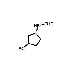 CC(=O)C1CCN(BC=O)C1